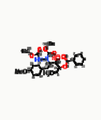 C=C[C@H](OC(=O)c1ccccc1)[C@H](O)[C@@H](Cc1ccc(OC)cc1)N(NC(=O)OC(C)(C)C)C(=O)OC(C)(C)C